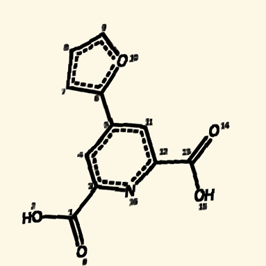 O=C(O)c1cc(-c2ccco2)cc(C(=O)O)n1